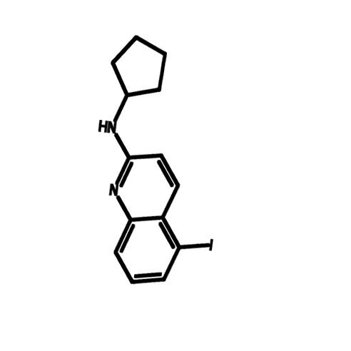 Ic1cccc2nc(NC3CCCC3)ccc12